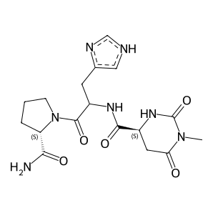 CN1C(=O)C[C@@H](C(=O)NC(Cc2c[nH]cn2)C(=O)N2CCC[C@H]2C(N)=O)NC1=O